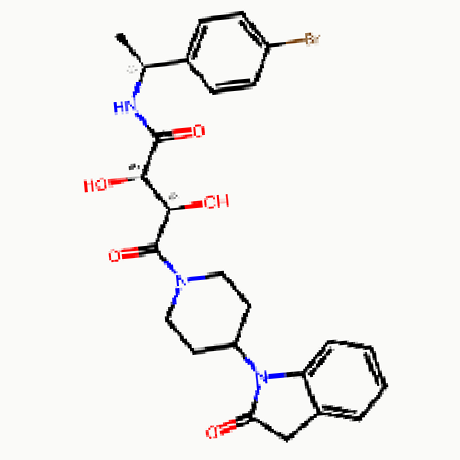 C[C@H](NC(=O)[C@H](O)[C@@H](O)C(=O)N1CCC(N2C(=O)Cc3ccccc32)CC1)c1ccc(Br)cc1